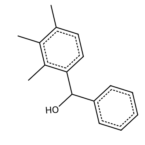 Cc1ccc(C(O)c2ccccc2)c(C)c1C